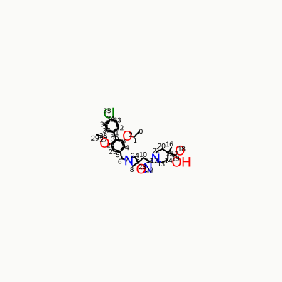 CCOc1cc(CN2CC3(CC(N4CCC(C)(C(=O)O)CC4)=NO3)C2)cc(OCC)c1-c1ccc(Cl)cc1